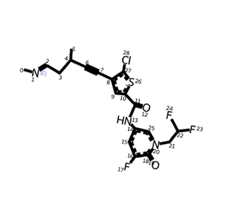 C/N=C/CC(C)C#Cc1cc(C(=O)Nc2cc(F)c(=O)n(CC(F)F)c2)sc1Cl